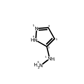 NNc1ccn[nH]1